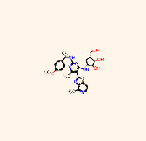 Cc1nc(N[C@@H](c2ccc(OC(F)(F)F)cc2)C(F)(F)F)nc(N[C@@H]2C[C@H](CO)[C@@H](O)[C@H]2O)c1-c1nc2c(C)nccc2s1